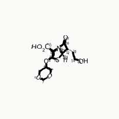 O=C(O)C1=C(OC2COCOC2)S[C@H]2[C@@H](CCO)C(=O)N12